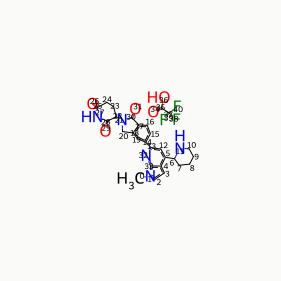 Cn1ccc2c(C3CCCCN3)cc(-c3ccc4c(c3)CN([C@H]3CCC(=O)NC3=O)C4=O)nc21.O=C(O)C(F)(F)F